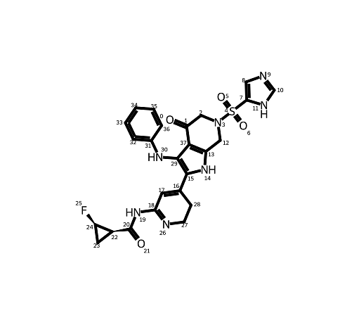 O=C1CN(S(=O)(=O)c2cnc[nH]2)Cc2[nH]c(C3=CC(NC(=O)[C@H]4C[C@H]4F)=NCC3)c(NC3=C=C=CC=C3)c21